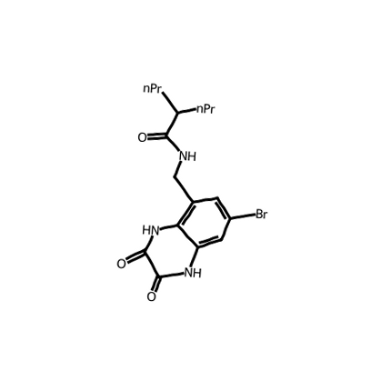 CCCC(CCC)C(=O)NCc1cc(Br)cc2[nH]c(=O)c(=O)[nH]c12